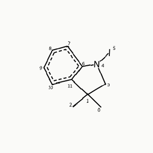 CC1(C)CN(I)c2ccccc21